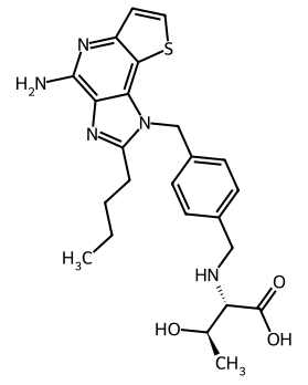 CCCCc1nc2c(N)nc3ccsc3c2n1Cc1ccc(CN[C@H](C(=O)O)[C@@H](C)O)cc1